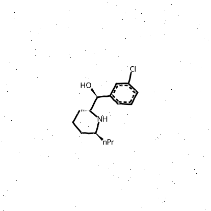 CCC[C@H]1CCC[C@H]([C@@H](O)c2cccc(Cl)c2)N1